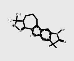 CC(C)N1C(=O)C(C)(C)c2cc3[nH]c4c(c3cc21)CCCC1C4=NNC1(O)C(F)(F)F